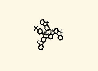 CC(C)(C)c1ccc(Nc2cc3oc4ccccc4c3cc2-c2ccc3c4c5c(ccc4n4c3c2Bc2cc3c(cc2-4)C(C)(C)c2ccccc2-3)C(C)(C)c2ccccc2-5)cc1